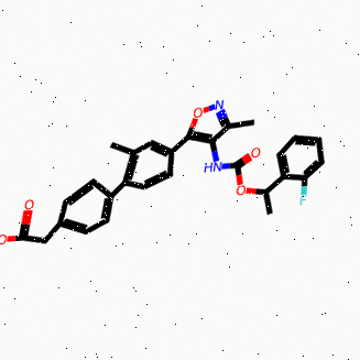 Cc1cc(-c2onc(C)c2NC(=O)OC(C)c2ccccc2F)ccc1-c1ccc(CC(=O)O)cc1